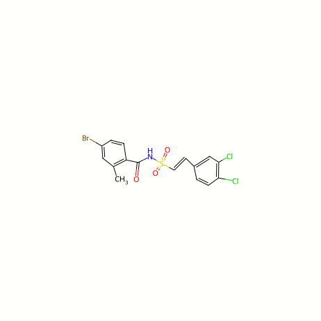 Cc1cc(Br)ccc1C(=O)NS(=O)(=O)/C=C/c1ccc(Cl)c(Cl)c1